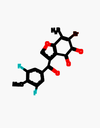 BC1=C(Br)C(=O)C(=O)c2c(C(=O)c3cc(F)c(OC)c(F)c3)coc21